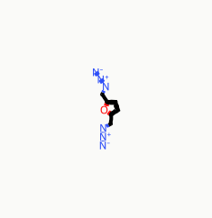 [N-]=[N+]=NCc1ccc(CN=[N+]=[N-])o1